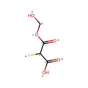 O=C(O)C(F)C(=O)OCO